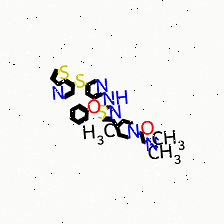 CN(C)CC(=O)N1CCC(C)(c2csc(Nc3ncc(Sc4ccnc5ccsc45)cc3Oc3ccccc3)n2)CC1